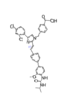 COc1cc(-c2ccc(/C=C/c3nc(-c4ccc(Cl)cc4Cl)cn3Cc3ccc(C(=O)O)cc3)cc2)ccc1NC(=O)NC(C)C